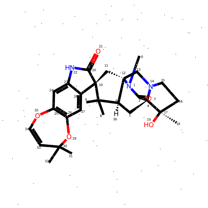 CN1C(=O)[C@]23C[C@H]4C(C)(C)[C@@]5(C[C@@]41CN2CC[C@@]3(C)O)C(=O)Nc1cc2c(cc15)OC(C)(C)C=CO2